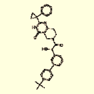 CC(C)(C)c1ccc(-c2cccc(C(O)C(=O)N3CCc4nc(C5(c6ccccc6)CC5)[nH]c(=O)c4C3)c2)cc1